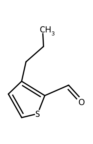 CCCc1ccsc1C=O